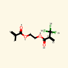 C=C(C)C(=O)OCCOC(=O)C(=C)C(F)(F)F